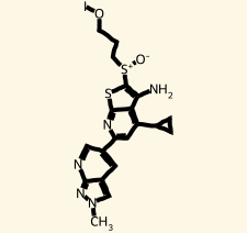 Cn1cc2cc(-c3cc(C4CC4)c4c(N)c([S+]([O-])CCCOI)sc4n3)cnc2n1